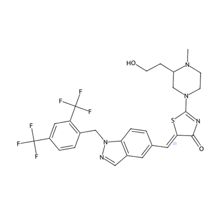 CN1CCN(C2=NC(=O)/C(=C/c3ccc4c(cnn4Cc4ccc(C(F)(F)F)cc4C(F)(F)F)c3)S2)CC1CCO